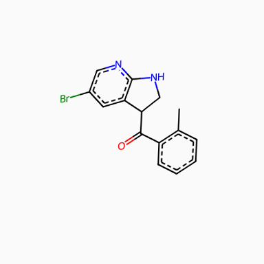 Cc1ccccc1C(=O)C1CNc2ncc(Br)cc21